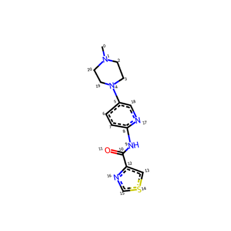 CN1CCN(c2ccc(NC(=O)c3cscn3)nc2)CC1